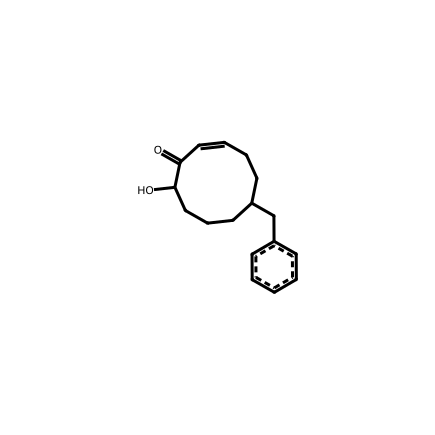 O=C1/C=C\CCC(Cc2ccccc2)CCCC1O